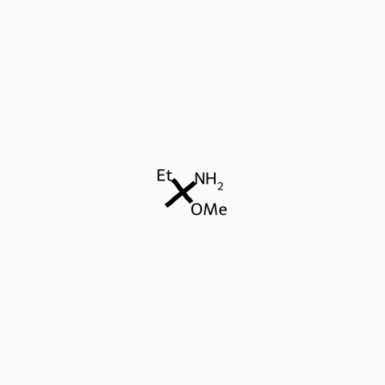 CCC(C)(N)OC